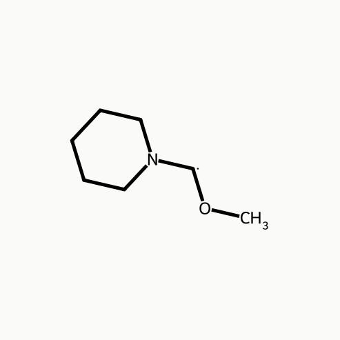 CO[CH]N1CCCCC1